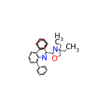 CCC1(CC)COC(/C(=N/c2c(-c3ccccc3)cccc2-c2ccccc2)c2ccccc2)=N1